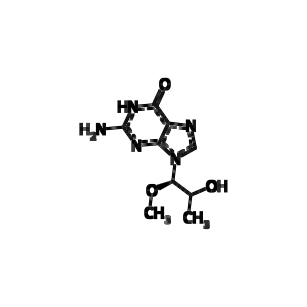 CO[C@H](C(C)O)n1cnc2c(=O)[nH]c(N)nc21